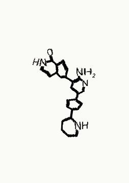 Nc1ncc(-c2ccc(C3CCCCN3)cc2)cc1-c1ccc2c(c1)CCNC2=O